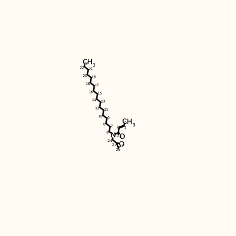 CC=CC(=O)N(CCCCCCCCCCCCCCCCCC)CC1CO1